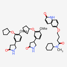 CN(C(=O)CCCOc1ccc2[nH]c(=O)ccc2c1)C1CCCCC1.COc1ccc(C2CNC(=O)C2)cc1OC1CCCC1.COc1ccc(C2CNC(=O)C2)cc1OC1CCCC1